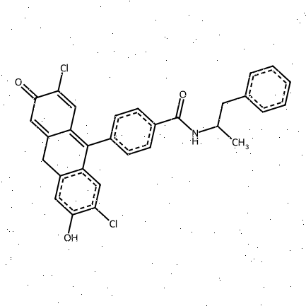 CC(Cc1ccccc1)NC(=O)c1ccc(C2=C3C=C(Cl)C(=O)C=C3Cc3cc(O)c(Cl)cc32)cc1